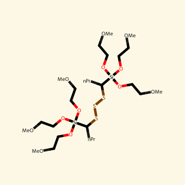 CCCC(SSSC(CCC)[Si](OCCOC)(OCCOC)OCCOC)[Si](OCCOC)(OCCOC)OCCOC